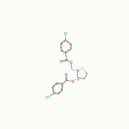 O=C(OC[C@@H]1SCC[C@@H]1OC(=O)c1ccc(Cl)cc1)c1ccc(Cl)cc1